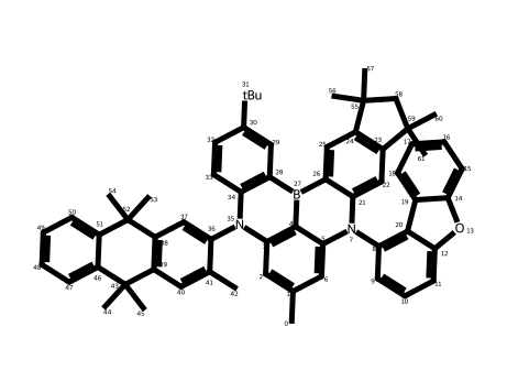 Cc1cc2c3c(c1)N(c1cccc4oc5ccccc5c14)c1cc4c(cc1B3c1cc(C(C)(C)C)ccc1N2c1cc2c(cc1C)C(C)(C)c1ccccc1C2(C)C)C(C)(C)CC4(C)C